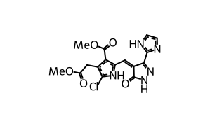 COC(=O)Cc1c(Cl)[nH]c(C=C2C(=O)NN=C2c2ncc[nH]2)c1C(=O)OC